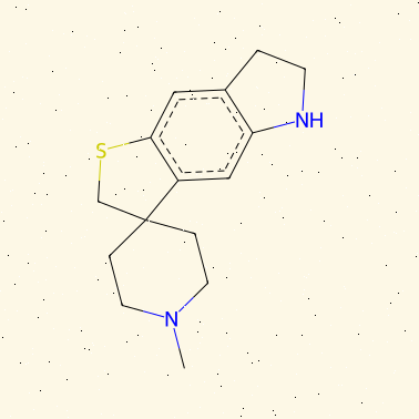 CN1CCC2(CC1)CSc1cc3c(cc12)NCC3